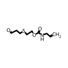 C=CCNC(=O)OCCSCCC=O